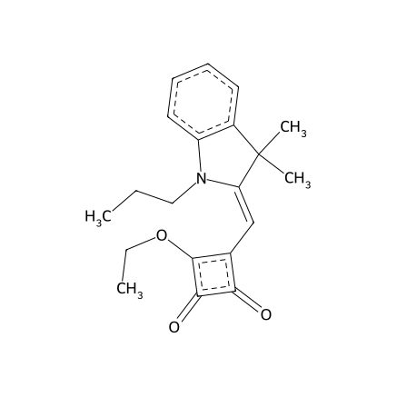 CCCN1C(=Cc2c(OCC)c(=O)c2=O)C(C)(C)c2ccccc21